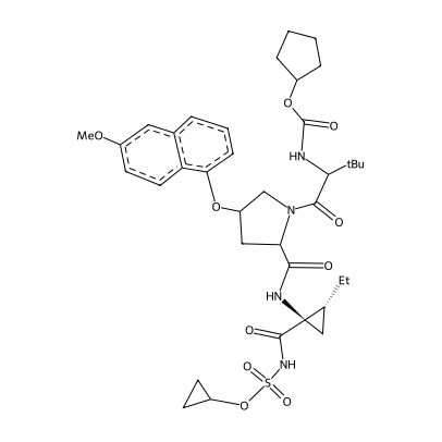 CC[C@@H]1C[C@]1(NC(=O)C1CC(Oc2cccc3cc(OC)ccc23)CN1C(=O)C(NC(=O)OC1CCCC1)C(C)(C)C)C(=O)NS(=O)(=O)OC1CC1